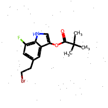 CC(C)(C)C(=O)Oc1c[nH]c2c(F)cc(CCBr)cc12